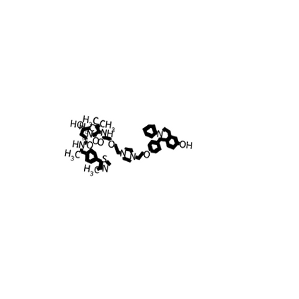 Cc1ncsc1-c1ccc(C(C)NC(=O)[C@@H]2C[C@@H](O)CN2C(=O)C(NC(=O)COCCN2CCN(CCOc3ccc(C4c5ccc(O)cc5CCN4c4ccccc4)cc3)CC2)C(C)(C)C)cc1